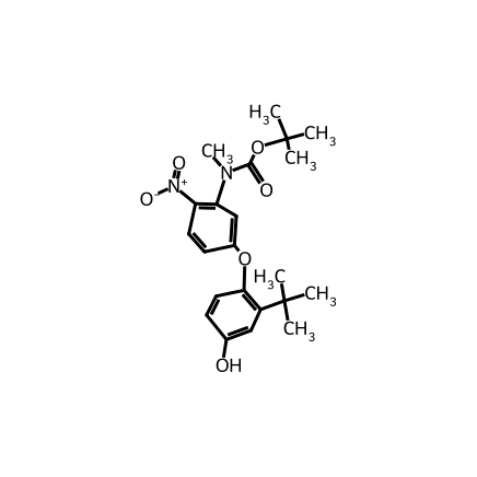 CN(C(=O)OC(C)(C)C)c1cc(Oc2ccc(O)cc2C(C)(C)C)ccc1[N+](=O)[O-]